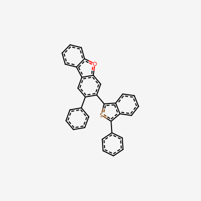 c1ccc(-c2cc3c(cc2-c2sc(-c4ccccc4)c4ccccc24)oc2ccccc23)cc1